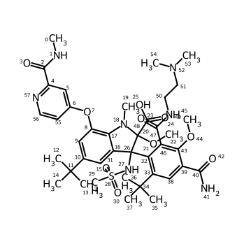 CNC(=O)c1cc(Oc2cc(C(C)(C)C)cc3c2N(C)C(OC)(C(=O)O)C3(NS(C)(=O)=O)c2c(C(C)(C)C)cc(C(N)=O)c(OC)c2C(=O)NCCN(C)C)ccn1